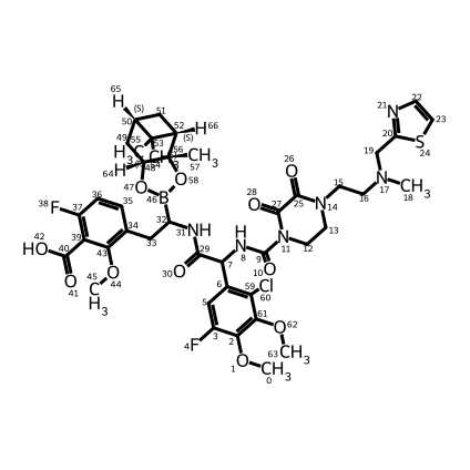 COc1c(F)cc(C(NC(=O)N2CCN(CCN(C)Cc3nccs3)C(=O)C2=O)C(=O)NC(Cc2ccc(F)c(C(=O)O)c2OC)B2O[C@@H]3C[C@@H]4C[C@@H](C4(C)C)[C@]3(C)O2)c(Cl)c1OC